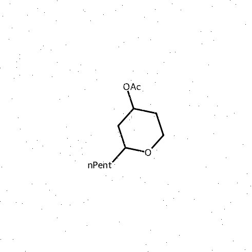 CCCCCC1CC(OC(C)=O)CCO1